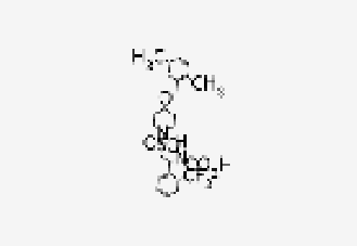 Cc1ccc(C)c(COC2CCN(S(=O)(=O)CC(NC(=O)O)c3ccccc3C(F)(F)F)CC2)c1